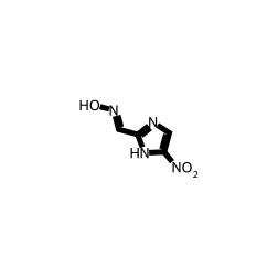 O=[N+]([O-])c1cnc(C=NO)[nH]1